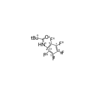 CC(C)(C)C(=O)Nc1c(F)c(F)c(F)c(F)c1F